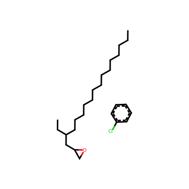 CCCCCCCCCCCCCCC(CC)CC1CO1.Clc1ccccc1